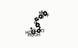 CS[C@H]1O[C@@H](c2ccc(Cl)c(Cc3ccc(O[C@@H]4CCN([C@@H]5CO[C@H](c6cc(F)ccc6F)[C@@H](N)C5)C4)cc3)c2)[C@H](O)[C@@H](O)[C@@H]1O